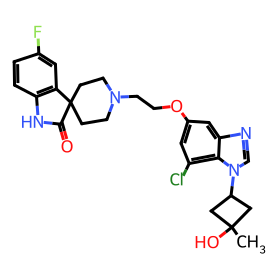 CC1(O)CC(n2cnc3cc(OCCN4CCC5(CC4)C(=O)Nc4ccc(F)cc45)cc(Cl)c32)C1